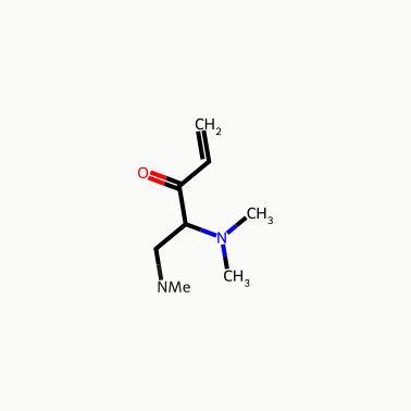 C=CC(=O)C(CNC)N(C)C